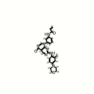 C=CC(=O)Nc1cccc(-n2cnc(=O)c3cnc(Nc4ccc(N5CCOCC5)cc4F)nc32)c1